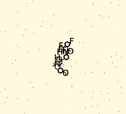 COc1ccc2c(c1)/C(=C/C(=O)c1cccc(NC(=O)c3cc(F)ccc3C(F)(F)F)c1)NC(C)(C)C2